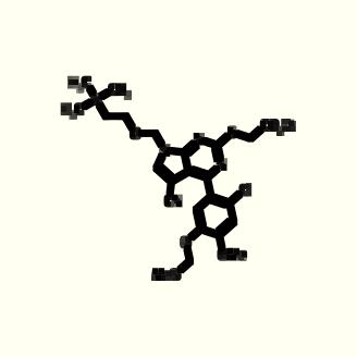 CCOC(=O)CSc1nc(-c2cc(OCOC)c(OC)cc2Cl)c2c(C#N)cn(COCC[Si](C)(C)C)c2n1